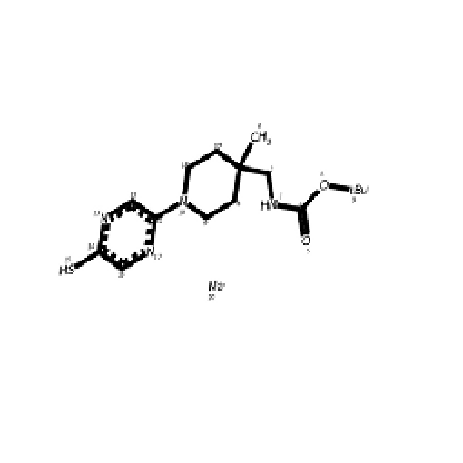 CC1(CNC(=O)OC(C)(C)C)CCN(c2cnc(S)cn2)CC1.[Na]